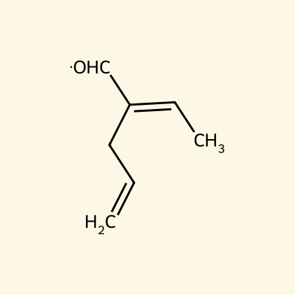 C=CCC([C]=O)=CC